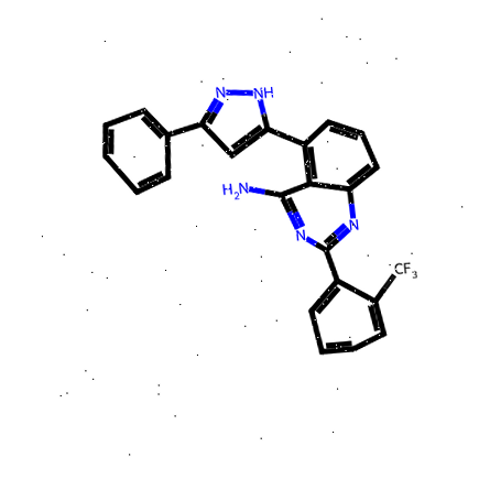 Nc1nc(-c2ccccc2C(F)(F)F)nc2cccc(-c3cc(-c4ccccc4)n[nH]3)c12